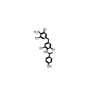 CCc1cc(Cc2cc(CC)c(NC(C)c3ccc(O)cc3)c(CC)c2)cc(CC)c1N